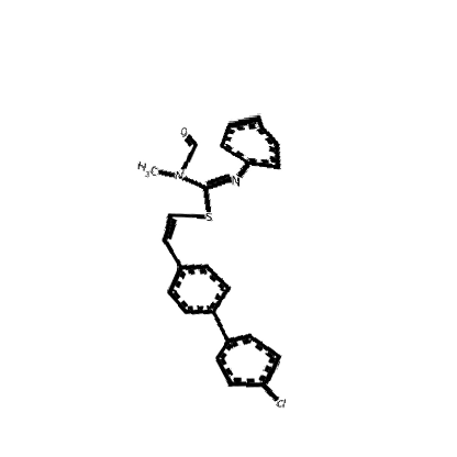 CN(C=O)/C(=N\c1ccccc1)S/C=C\c1ccc(-c2ccc(Cl)cc2)cc1